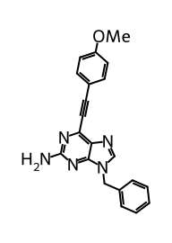 COc1ccc(C#Cc2nc(N)nc3c2ncn3Cc2ccccc2)cc1